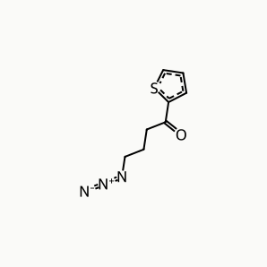 [N-]=[N+]=NCCCC(=O)c1cccs1